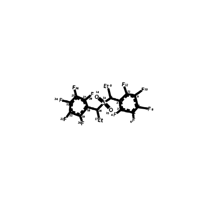 CCC(c1c(F)c(F)c(F)c(F)c1F)S(=O)(=O)C(CC)c1c(F)c(F)c(F)c(F)c1F